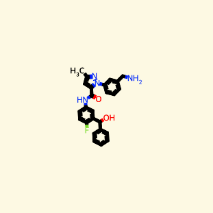 Cc1cc(C(=O)Nc2ccc(F)c(C(O)c3ccccc3)c2)n(-c2cccc(CN)c2)n1